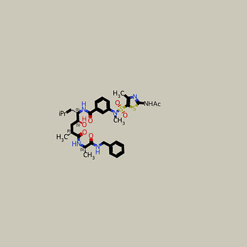 CC(=O)Nc1nc(C)c(S(=O)(=O)N(C)c2cccc(C(=O)N[C@@H](CC(C)C)[C@@H](O)C[C@@H](C)C(=O)N[C@@H](C)C(=O)NCc3ccccc3)c2)s1